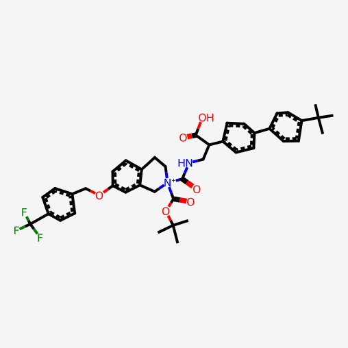 CC(C)(C)OC(=O)[N+]1(C(=O)NCC(C(=O)O)c2ccc(-c3ccc(C(C)(C)C)cc3)cc2)CCc2ccc(OCc3ccc(C(F)(F)F)cc3)cc2C1